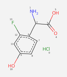 Cl.NC(C(=O)O)c1ccc(O)cc1F